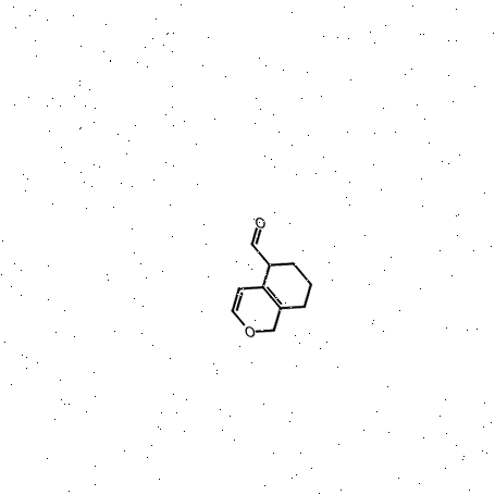 O=CC1CCCC2=C1C=COC2